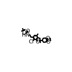 Cc1cc(CCNC(=O)OC(C)(C)C)c(Cl)c2c1CC(C)(C1CCC3(CC1)OCCO3)O2